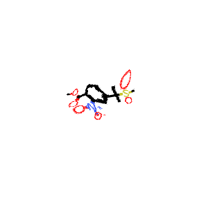 COC(=O)c1ccc(C(C)(C)S(C)(=O)=O)cc1[N+](=O)[O-]